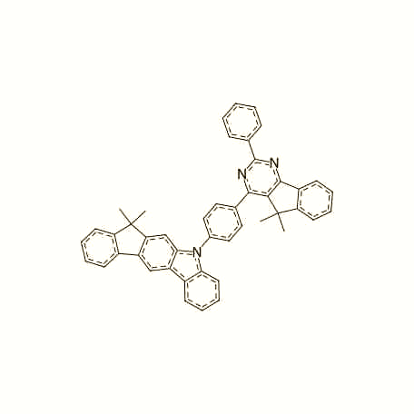 CC1(C)c2ccccc2-c2cc3c4ccccc4n(-c4ccc(-c5nc(-c6ccccc6)nc6c5C(C)(C)c5ccccc5-6)cc4)c3cc21